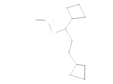 O[SiH2]OC(CCC1CCC1)C1CCC1